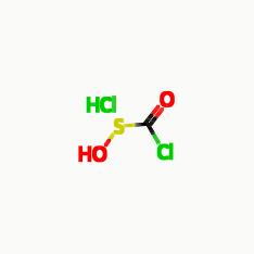 Cl.O=C(Cl)SO